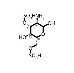 N[C@H]1C(O)O[C@H](COS(=O)(=O)O)[C@H](O)[C@@H]1OS(=O)(=O)O